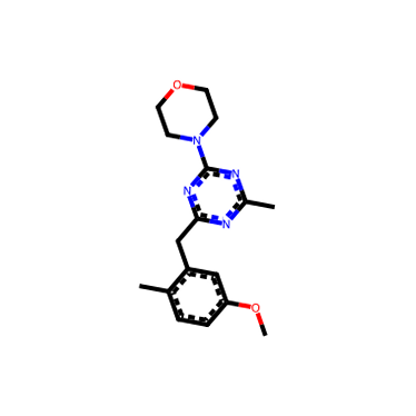 COc1ccc(C)c(Cc2nc(C)nc(N3CCOCC3)n2)c1